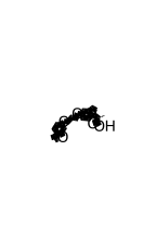 Cc1coc2cc(OCCCOc3ccc4c(c3)CC[C@H]4[C@H](C)C(=O)O)ccc12